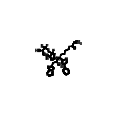 CCC(=O)CCCCC[C@H](NC(=O)Cc1cn2ccsc2n1)c1ncc(-c2ccccc2)[nH]1.O=C(O)C(F)(F)F.O=C(O)C(F)(F)F